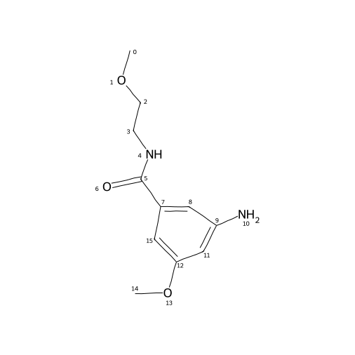 COCCNC(=O)c1cc(N)cc(OC)c1